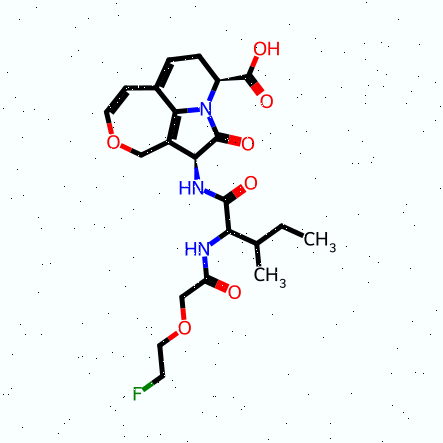 CCC(C)C(NC(=O)COCCF)C(=O)N[C@@H]1C(=O)N2C3=C1COC=CC3=CC[C@H]2C(=O)O